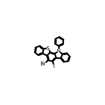 Brc1c(I)c2c3ccccc3n(-c3ccccc3)c2c2sc3ccccc3c12